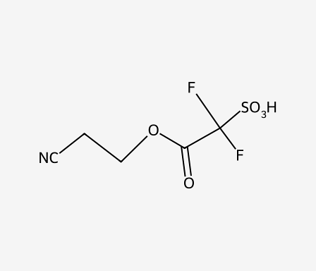 N#CCCOC(=O)C(F)(F)S(=O)(=O)O